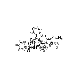 CCC1N(Cc2c3ccocc-3c(Br)c2-c2ccccc2C(=O)NS(=O)(=O)c2ccccc2)C(C(N)=O)=CN1C1CC1